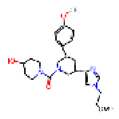 COCCn1cnc(C2CC(c3ccc(OC(F)(F)F)cc3)CN(C(=O)N3CCC(O)CC3)C2)c1